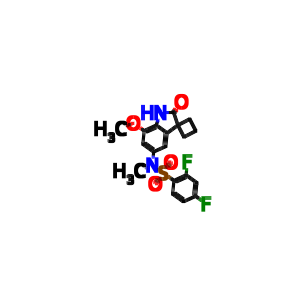 COc1cc(N(C)S(=O)(=O)c2ccc(F)cc2F)cc2c1NC(=O)C21CCC1